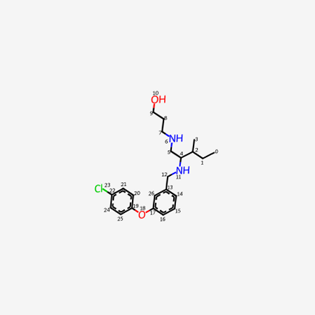 CCC(C)C(CNCCCO)NCc1cccc(Oc2ccc(Cl)cc2)c1